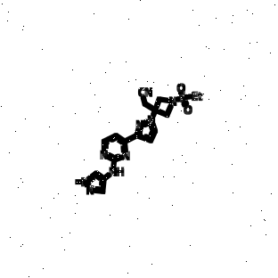 CCS(=O)(=O)N1CC(CC#N)(n2ccc(-c3ccnc(Nc4cnn(C)c4)n3)n2)C1